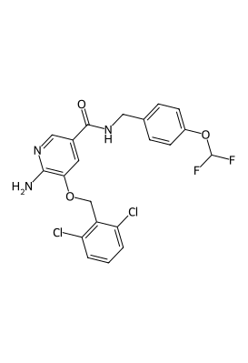 Nc1ncc(C(=O)NCc2ccc(OC(F)F)cc2)cc1OCc1c(Cl)cccc1Cl